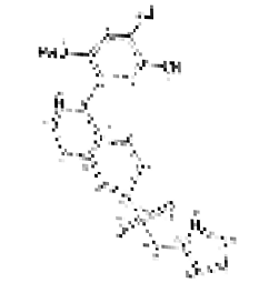 COc1cc(Cl)c(C#N)cc1-c1nccc2cc(S(=O)(=O)Nc3nncs3)ccc12